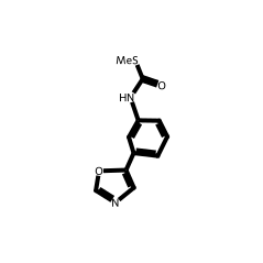 CSC(=O)Nc1cccc(-c2cnco2)c1